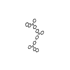 c1ccc(N(c2ccc(-c3ccc(N(c4ccccc4)c4ccc5ccccc5c4)cc3)cc2)c2ccc(-c3ccc(N(c4ccccc4)c4ccc5ccccc5c4)cc3)cc2)cc1